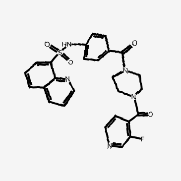 O=C(c1ccc(NS(=O)(=O)c2cccc3cccnc23)cc1)N1CCN(C(=O)c2ccncc2F)CC1